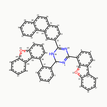 c1ccc(C2N=C(c3cccc4c3oc3ccccc34)N=C(c3ccc4ccc5ccccc5c4c3)N2)c(-c2cccc3oc4ccccc4c23)c1